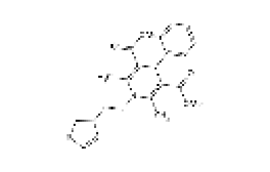 COC(=O)C1=C(C)N(CCc2ccsc2)C(C)=C(C(=O)OC)C1c1ccccc1